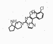 Cc1nc(N2CCC3(CCCC3N)CC2)n2ccnc2c1-c1cccc(Cl)c1Cl